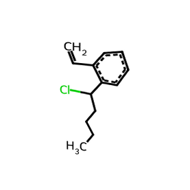 C=Cc1ccccc1C(Cl)CCCC